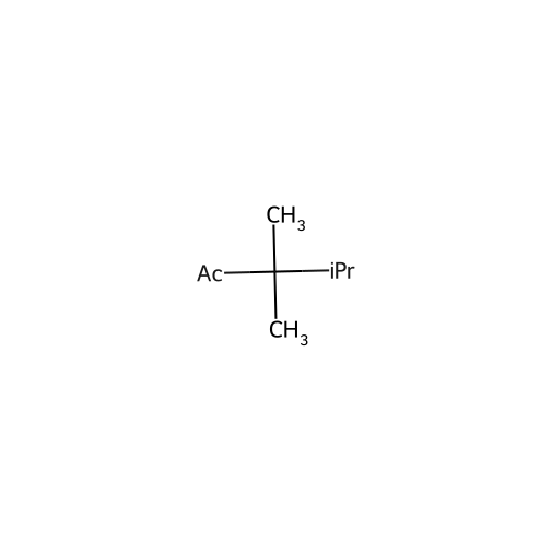 CC(=O)C(C)(C)C(C)C